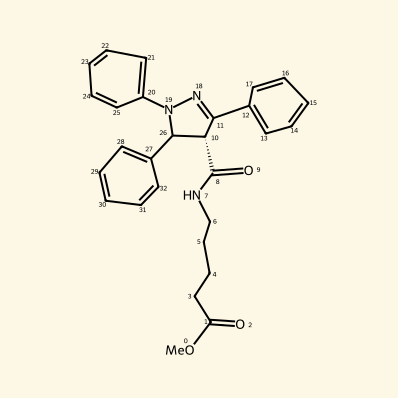 COC(=O)CCCCNC(=O)[C@H]1C(c2ccccc2)=NN(c2ccccc2)C1c1ccccc1